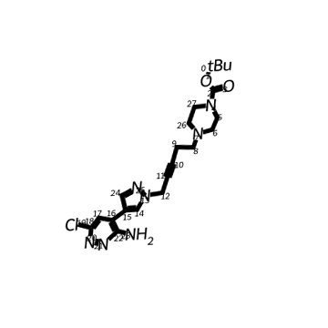 CC(C)(C)OC(=O)N1CCN(CCC#CCn2cc(-c3cc(Cl)nnc3N)cn2)CC1